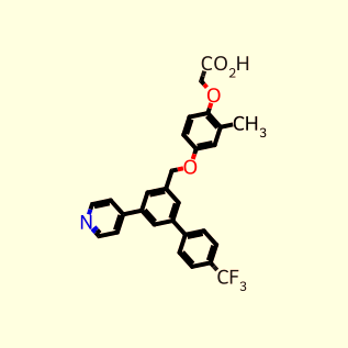 Cc1cc(OCc2cc(-c3ccncc3)cc(-c3ccc(C(F)(F)F)cc3)c2)ccc1OCC(=O)O